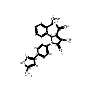 COCc1ccccc1C1C(C(=O)C(C)C)=C(O)C(=O)N1c1ccc(-c2cc(C)on2)cc1